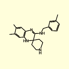 Cc1cccc(CNC2=Nc3cc(C)c(C)cc3NC23CCNCC3)c1